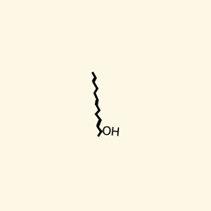 CC=CCCC=CCCC=CC(C)O